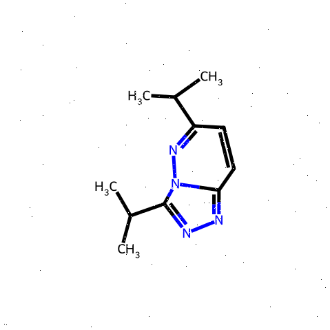 CC(C)c1ccc2nnc(C(C)C)n2n1